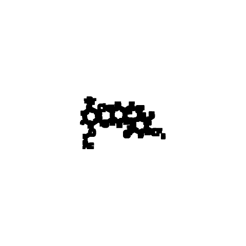 CC(=O)COc1ccc(Br)cc1Oc1cc(-n2c(=O)cc(C(F)(F)F)n(C)c2=O)c(F)cc1Cl